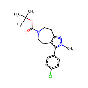 Cn1nc2c(c1-c1ccc(Cl)cc1)CCN(C(=O)OC(C)(C)C)CC2